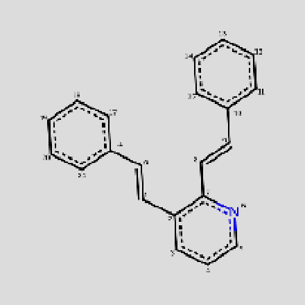 C(=C\c1cccnc1/C=C/c1ccccc1)/c1ccccc1